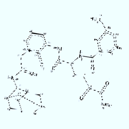 CNC(=O)C(=O)CCC(NC(=O)c1cncc(C(=O)O)c1)C(=O)Nc1cccn(CC(=O)NC2C3CC4CC(C3)CC2C4)c1=O